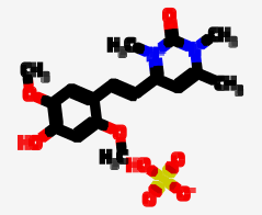 COc1cc(C=Cc2cc(C)n(C)c(=O)[n+]2C)c(OC)cc1O.O=S(=O)([O-])O